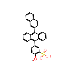 COc1ccc(-c2c3ccccc3c(-c3ccc4ccccc4c3)c3ccccc23)cc1S(=O)(=O)O